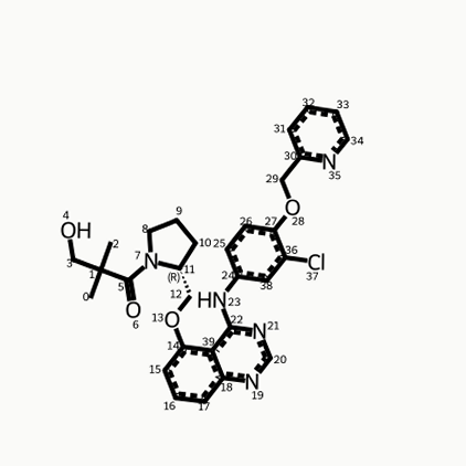 CC(C)(CO)C(=O)N1CCC[C@@H]1COc1cccc2ncnc(Nc3ccc(OCc4ccccn4)c(Cl)c3)c12